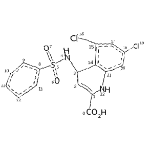 O=C(O)C1=CC(NS(=O)(=O)c2ccccc2)c2c(Cl)cc(Cl)cc2N1